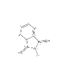 [CH2]N1C(=O)C2=CC=CCC2C1=O